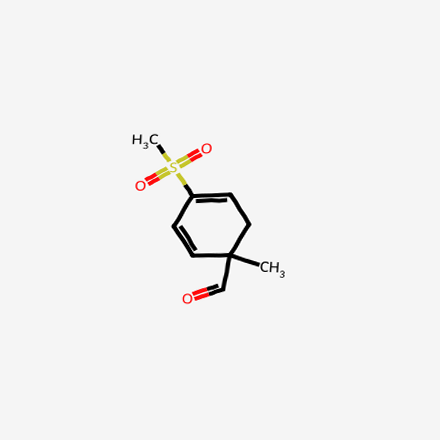 CC1(C=O)C=CC(S(C)(=O)=O)=CC1